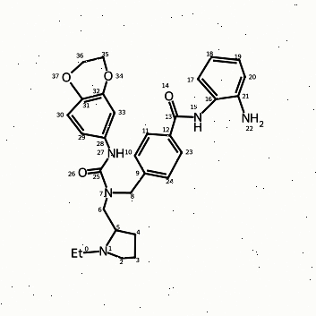 CCN1CCCC1CN(Cc1ccc(C(=O)Nc2ccccc2N)cc1)C(=O)Nc1ccc2c(c1)OCCO2